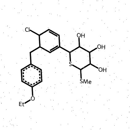 CCOc1ccc(CC2C=C(C3SC(SC)C(O)C(O)C3O)C=CC2Cl)cc1